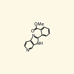 COC(=O)c1ccccc1-c1nc2ccncc2[nH]1